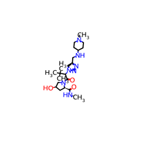 CNC(=O)[C@H]1CC(O)CN1C(=O)C(n1cc(CNC2CCN(C)CC2)nn1)C(C)(C)C